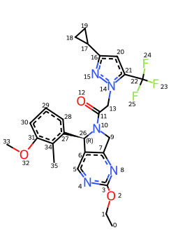 CCOc1ncc2c(n1)CN(C(=O)Cn1nc(C3CC3)cc1C(F)(F)F)[C@@H]2c1cccc(OC)c1C